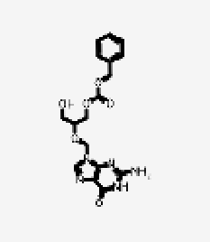 Nc1nc2c(ncn2COC(CO)COC(=O)OCc2ccccc2)c(=O)[nH]1